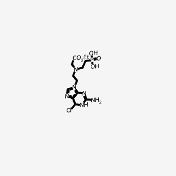 CCOC(=O)CN(CCn1cnc2c1N=C(N)NC2Cl)CCP(=O)(O)O